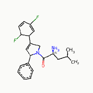 CC(C)C[C@H](N)C(=O)N1CC(C2C=C(F)C=CC2F)=CC1c1ccccc1